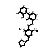 C=Nc1cc(CN2CCCC2)cc(C#N)c1CCc1cccc(-c2cccc(CC)c2C)c1C